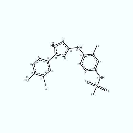 Cc1cc(NS(C)(=O)=O)ccc1Nc1cc(-c2ccc(O)c(F)c2)[nH]n1